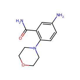 NC(=O)c1cc(N)ccc1N1CCOCC1